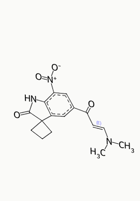 CN(C)/C=C/C(=O)c1cc([N+](=O)[O-])c2c(c1)C1(CCC1)C(=O)N2